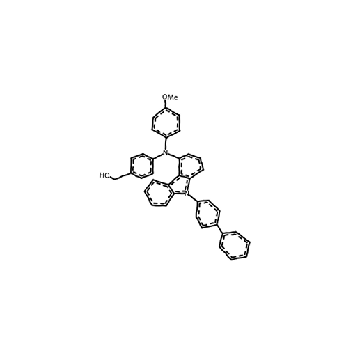 COc1ccc(N(c2ccc(CO)cc2)c2cccc3c2c2ccccc2n3-c2ccc(-c3ccccc3)cc2)cc1